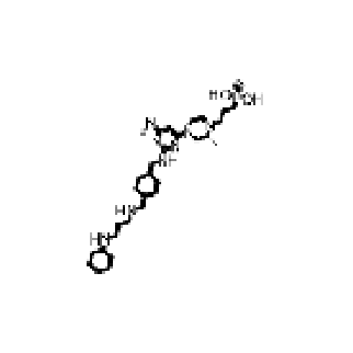 C[C@@H]1CN(c2cc(N)nc(NCC3CCC(CNCCCNC4CCCCC4)CC3)n2)CCN1CCCP(=O)(O)O